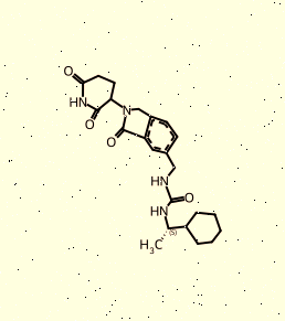 C[C@H](NC(=O)NCc1ccc2c(c1)C(=O)N(C1CCC(=O)NC1=O)C2)C1CCCCC1